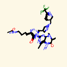 CC(=O)NCCCCC(N)C(=O)N(Cc1cnn(Cc2ccc(C(F)(F)F)nc2)c1)c1nc(C)c2c(n1)N(C)C(C)C(=O)N2